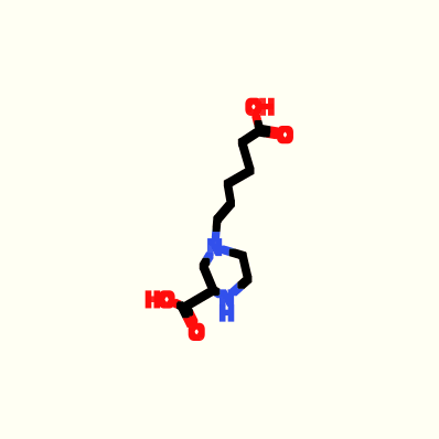 O=C(O)CCCCCN1CCNC(C(=O)O)C1